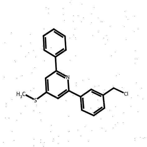 CSc1cc(-c2ccccc2)nc(-c2cccc(CCl)c2)c1